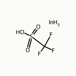 O=S(=O)(O)C(F)(F)F.[InH3]